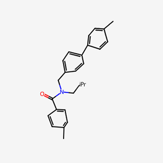 Cc1ccc(C(=O)N(Cc2ccc(-c3ccc(C)cc3)cc2)CC(C)C)cc1